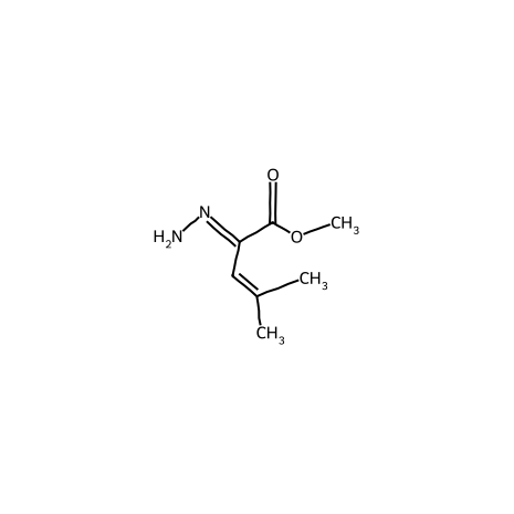 COC(=O)/C(C=C(C)C)=N/N